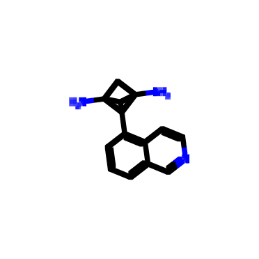 NC12CC(N)(C1)C2c1cccc2cnccc12